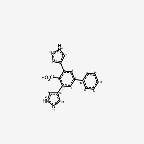 O=C(O)c1c(-c2cn[nH]c2)cc(-c2ccccc2)cc1-c1cn[nH]c1